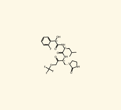 CC(C)C[C@H](NC(=O)[C@H](O)c1ccccc1F)C(=O)N[C@@H](C[C@@H]1CCNC1=O)C(=O)COC(F)(F)F